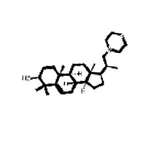 C[C@H](CN1CCSCC1)[C@H]1CC[C@H]2[C@@H]3CC=C4C(C)(C)[C@@H](O)CC[C@]4(C)[C@H]3CC[C@]12C